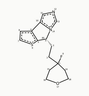 FC1(CC[C@@H]2c3sccc3-c3cncn32)CCOCC1